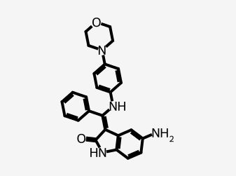 Nc1ccc2c(c1)C(=C(Nc1ccc(N3CCOCC3)cc1)c1ccccc1)C(=O)N2